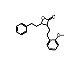 COc1ccccc1CCC1C(=O)OC1CCc1ccccc1